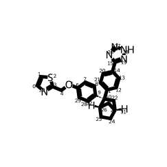 c1csc(COc2ccc([C@]3(c4ccc(-c5nn[nH]n5)cc4)C[C@@H]4CC[C@H]3C4)cc2)n1